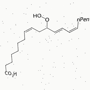 CCCCC/C=C\C=C\C(C/C=C\CCCCCCC(=O)O)OO